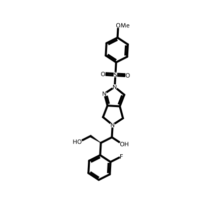 COc1ccc(S(=O)(=O)n2cc3c(n2)CN(C(O)[C@H](CO)c2ccccc2F)C3)cc1